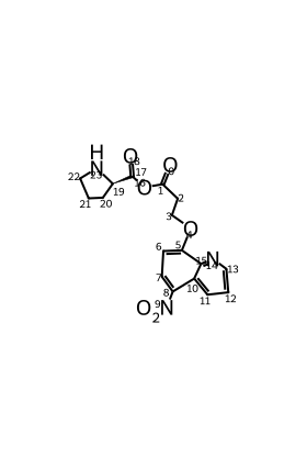 O=C(CCOc1ccc([N+](=O)[O-])c2cccnc12)OC(=O)[C@H]1CCCN1